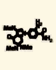 CNc1cn(-c2ccc(C(N)=O)c(N)c2)c2c1C(=O)CC(NC)(NC)C2